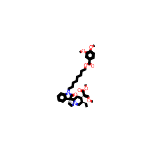 CC[C@H]1CN2CC[C@]3(C(=O)N(CCCCCCCCOC(=O)c4ccc(OC)c(OC)c4)c4ccccc43)[C@@H]2C[C@@H]1/C(=C\OC)C(=O)OC